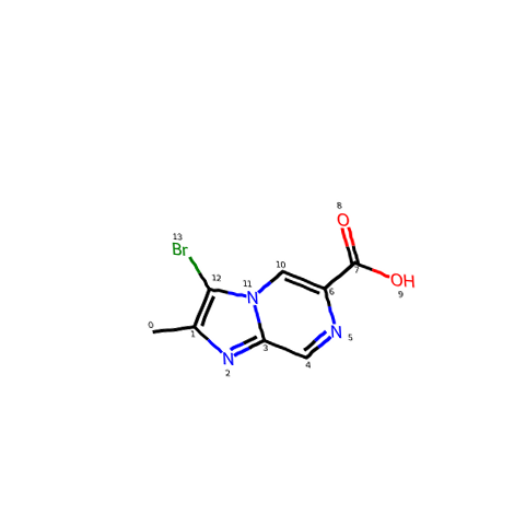 Cc1nc2cnc(C(=O)O)cn2c1Br